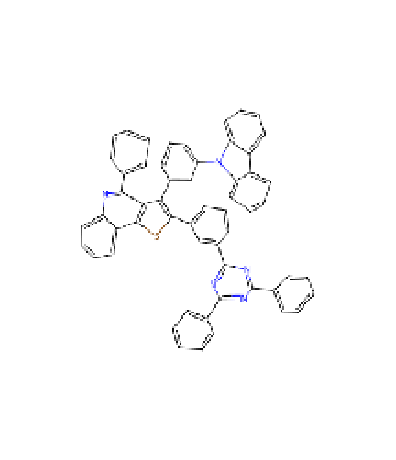 c1ccc(-c2nc(-c3ccccc3)nc(-c3cccc(-c4sc5c(c(-c6ccccc6)nc6ccccc65)c4-c4cccc(-n5c6ccccc6c6ccccc65)c4)c3)n2)cc1